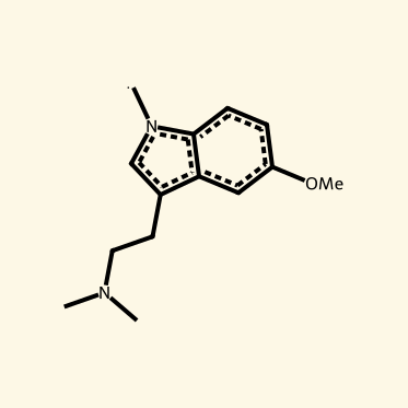 [CH2]n1cc(CCN(C)C)c2cc(OC)ccc21